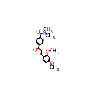 COc1ccc(C=CC(=O)c2ccc(C(=O)N(C)C)cc2)c(OC)c1